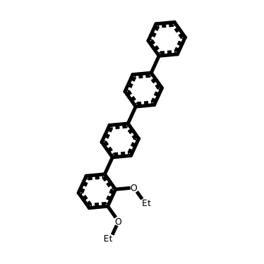 CCOc1cccc(-c2ccc(-c3ccc(-c4ccccc4)cc3)cc2)c1OCC